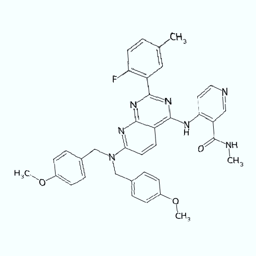 CNC(=O)c1cnccc1Nc1nc(-c2cc(C)ccc2F)nc2nc(N(Cc3ccc(OC)cc3)Cc3ccc(OC)cc3)ccc12